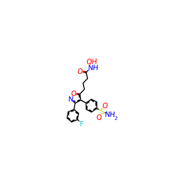 NS(=O)(=O)c1ccc(-c2c(-c3cccc(F)c3)noc2CCCC(=O)NO)cc1